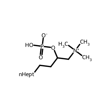 CCCCCCCCCC(C[N+](C)(C)C)OP(=O)([O-])O